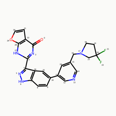 O=c1nc(-c2n[nH]c3ccc(-c4cncc(CN5CCC(F)(F)C5)c4)cc23)[nH]c2occc12